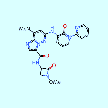 CNc1cc(Nc2cccn(-c3ccccn3)c2=O)nn2c(C(=O)NC3CN(OC)C3=O)cnc12